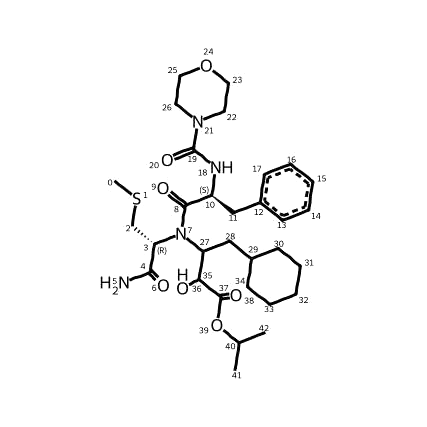 CSC[C@@H](C(N)=O)N(C(=O)[C@H](Cc1ccccc1)NC(=O)N1CCOCC1)C(CC1CCCCC1)C(O)C(=O)OC(C)C